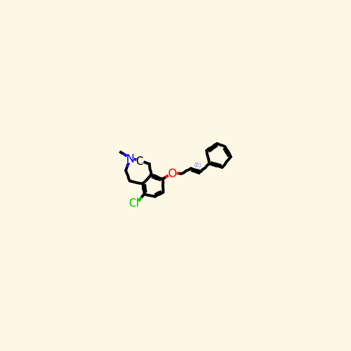 CN1CCc2c(Cl)ccc(OC/C=C/c3ccccc3)c2CC1